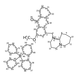 COc1cc(C[N+]2=C3CCCCCN3CCC2)c2sc3ccccc3c(=O)c2c1.c1ccc([B-](c2ccccc2)(c2ccccc2)c2ccccc2)cc1